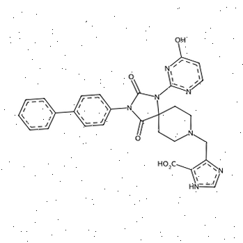 O=C(O)c1[nH]cnc1CN1CCC2(CC1)C(=O)N(c1ccc(-c3ccccc3)cc1)C(=O)N2c1nccc(O)n1